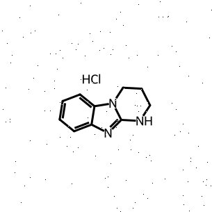 Cl.c1ccc2c(c1)nc1n2CCCN1